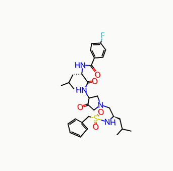 CC(C)C[C@H](CN1CC(=O)C(NC(=O)[C@H](CC(C)C)NC(=O)c2ccc(F)cc2)C1)NS(=O)(=O)Cc1ccccc1